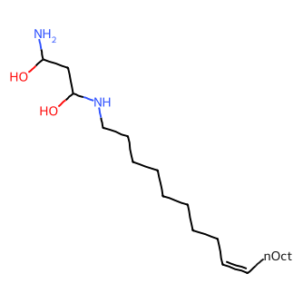 CCCCCCCC/C=C\CCCCCCCCNC(O)CC(N)O